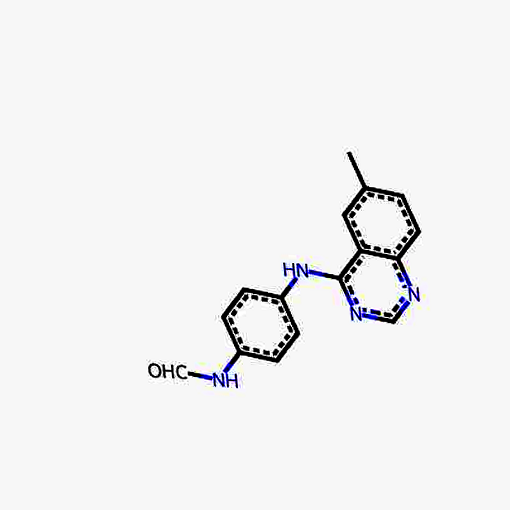 Cc1ccc2ncnc(Nc3ccc(NC=O)cc3)c2c1